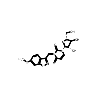 COc1ccc2c(Cn3c(=O)ccn([C@@H]4O[C@H](CO)C(O)[C@@H]4O)c3=O)noc2c1